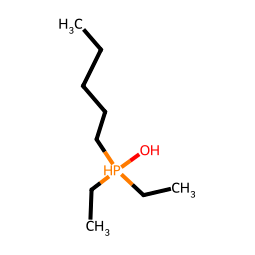 CCCCC[PH](O)(CC)CC